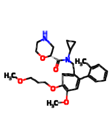 COCCCOc1cc(CN(C(=O)[C@H]2CNCCO2)C2CC2)c(-c2ccccc2C)cc1OC